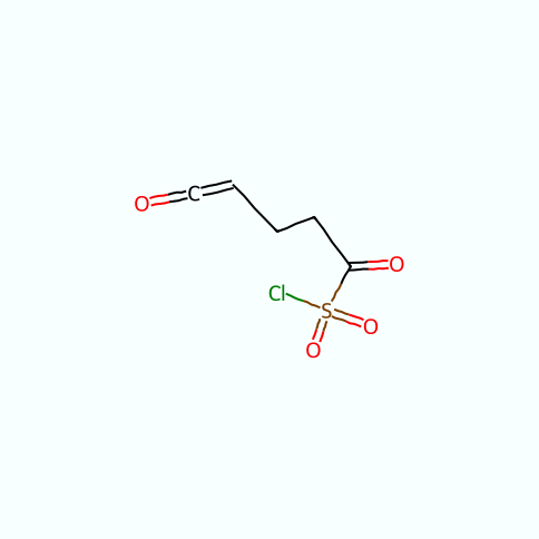 O=C=CCCC(=O)S(=O)(=O)Cl